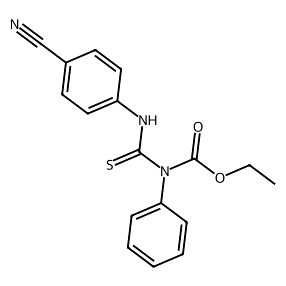 CCOC(=O)N(C(=S)Nc1ccc(C#N)cc1)c1ccccc1